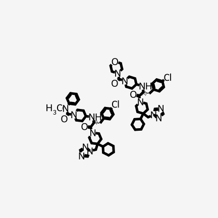 CN(C(=O)N1CCC(N[C@H](Cc2ccc(Cl)cc2)C(=O)N2CCC(Cn3cncn3)(C3CCCCC3)CC2)CC1)c1ccccc1.O=C([C@@H](Cc1ccc(Cl)cc1)NC1CCN(C(=O)N2CCOCC2)CC1)N1CCC(Cn2cncn2)(C2CCCCC2)CC1